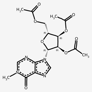 CC(=O)OC[C@H]1O[C@@H](n2cnc3c(=O)n(C)cnc32)[C@H](OC(C)=O)[C@@H]1OC(C)=O